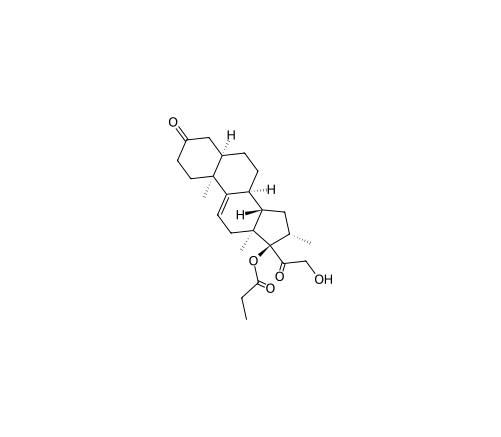 CCC(=O)O[C@]1(C(=O)CO)[C@@H](C)C[C@H]2[C@@H]3CC[C@@H]4CC(=O)CC[C@]4(C)C3=CC[C@@]21C